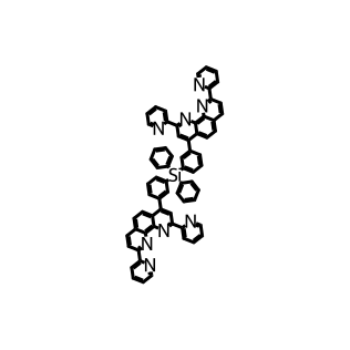 c1ccc([Si](c2ccccc2)(c2cccc(-c3cc(-c4ccccn4)nc4c3ccc3ccc(-c5ccccn5)nc34)c2)c2cccc(-c3cc(-c4ccccn4)nc4c3ccc3ccc(-c5ccccn5)nc34)c2)cc1